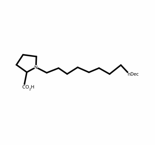 CCCCCCCCCCCCCCCCCCN1CCCC1C(=O)O